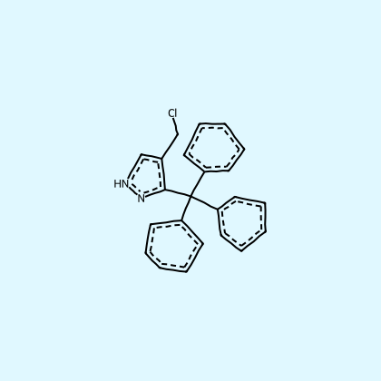 ClCc1c[nH]nc1C(c1ccccc1)(c1ccccc1)c1ccccc1